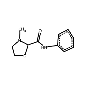 CN1CCOC1C(=O)Nc1ccccc1